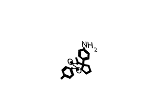 Cc1ccc(S(=O)(=O)C(C)C2(c3ccc(N)cc3)CCCC2)cc1